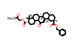 COC(=O)COC(=O)[C@H]1CC[C@]2(C)C3C(=O)C=C4[C@@H]5C[C@@](C)(C(=O)OCc6ccccc6)CC[C@]5(C)CC[C@@]4(C)[C@]3(C)CC[C@H]2C1(C)C